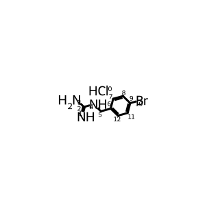 Cl.N=C(N)NCc1ccc(Br)cc1